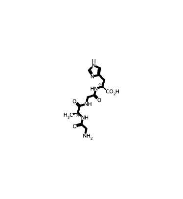 C[C@H](NC(=O)CN)C(=O)NCC(=O)N[C@@H](Cc1c[nH]cn1)C(=O)O